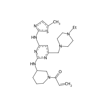 C=CC(=O)N1CCCC(Nc2nc(CN3CCN(CC)CC3)cc(Nc3ncc(C)s3)n2)C1